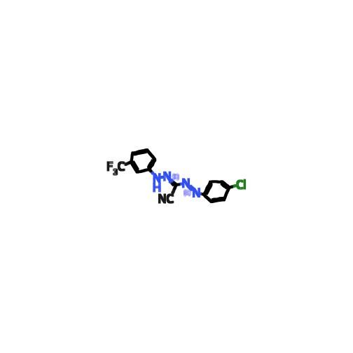 N#CC(/N=N/c1ccc(Cl)cc1)=N\Nc1cccc(C(F)(F)F)c1